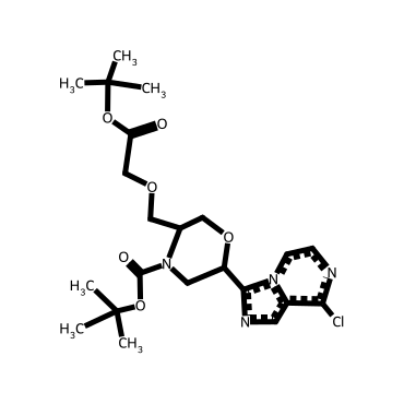 CC(C)(C)OC(=O)COCC1COC(c2ncc3c(Cl)nccn23)CN1C(=O)OC(C)(C)C